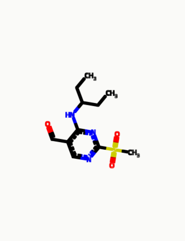 CCC(CC)Nc1nc(S(C)(=O)=O)ncc1C=O